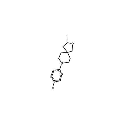 C[C@H]1CC2(CCN(c3cnc(Br)cn3)CC2)CO1